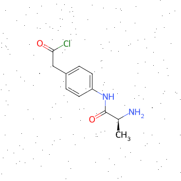 C[C@H](N)C(=O)Nc1ccc(CC(=O)Cl)cc1